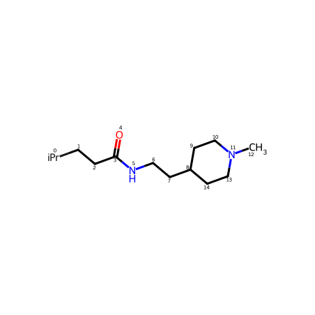 CC(C)CCC(=O)NCCC1CCN(C)CC1